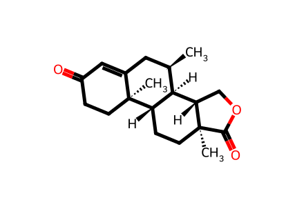 C[C@@H]1CC2=CC(=O)CC[C@]2(C)[C@H]2CC[C@]3(C)C(=O)OC[C@H]3[C@H]12